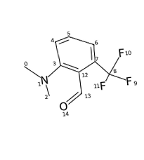 CN(C)c1cccc(C(F)(F)F)c1C=O